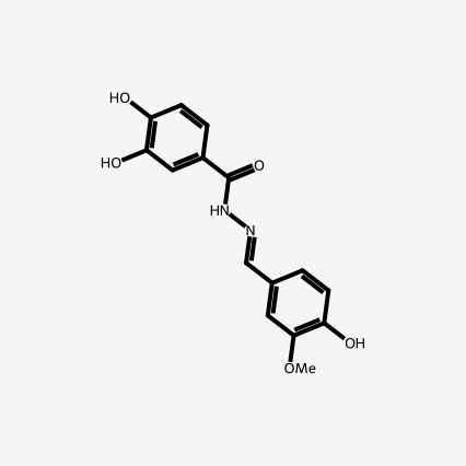 COc1cc(C=NNC(=O)c2ccc(O)c(O)c2)ccc1O